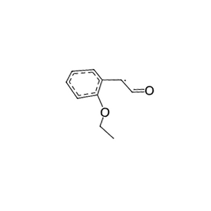 CCOc1ccccc1[CH]C=O